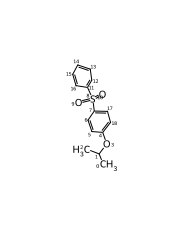 CC(C)Oc1ccc(S(=O)(=O)c2ccccc2)cc1